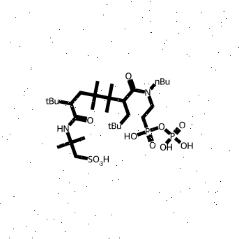 CCCCN(CCP(=O)(O)OP(=O)(O)O)C(=O)C(CC(C)(C)C)C(C)(C)C(C)(C)CC(C(=O)NC(C)(C)CS(=O)(=O)O)C(C)(C)C